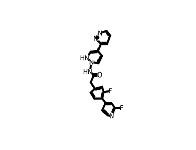 O=C(Cc1ccc(-c2ccnc(F)c2)c(F)c1)NN1C=CC(c2cccnn2)=CN1